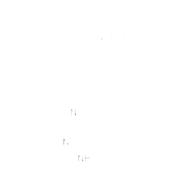 CS(=O)(=O)c1cccc(-c2ccc3c(c2)N(Cc2c[nH]cn2)CC3)c1